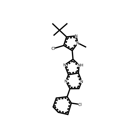 Cn1nc(C(C)(C)C)c(Cl)c1-c1nc2nc(-c3ccccc3Cl)cnc2[nH]1